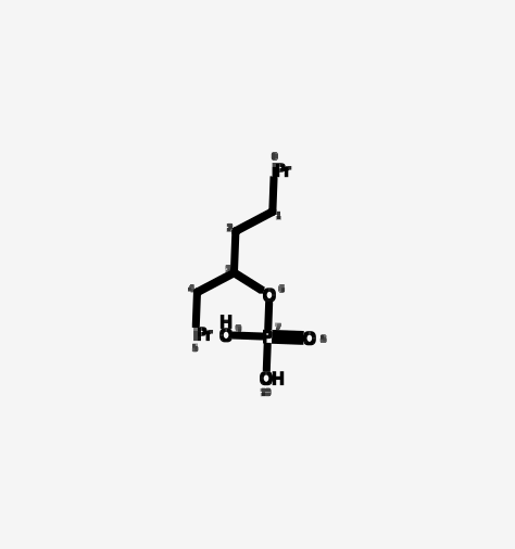 CC(C)CCC(CC(C)C)OP(=O)(O)O